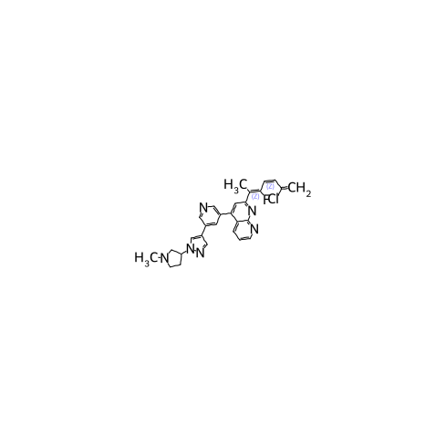 C=C(Cl)/C=C\C(F)=C(/C)c1cc(-c2cncc(-c3cnn(C4CCN(C)C4)c3)c2)c2cccnc2n1